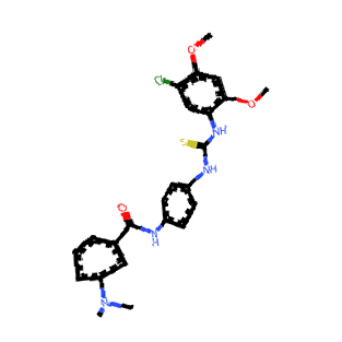 COc1cc(OC)c(NC(=S)Nc2ccc(NC(=O)c3cccc(N(C)C)c3)cc2)cc1Cl